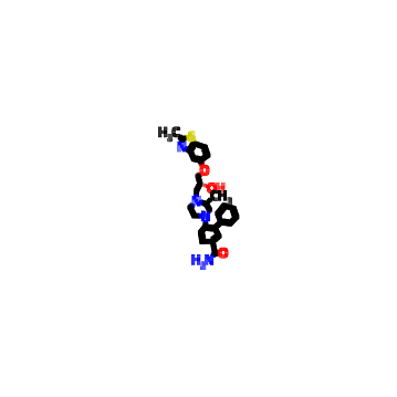 Cc1nc2cc(OC[C@H](O)CN3CCN(c4ccc(C(N)=O)cc4-c4ccccc4)C[C@@H]3C)ccc2s1